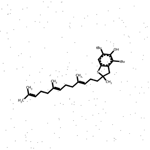 CC(C)=CCC/C(C)=C/CC/C(C)=C/CCC1(C)Cc2c(cc(C(C)(C)C)c(O)c2C(C)(C)C)S1